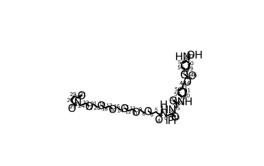 CC(C)C(NC(=O)CCOCCOCCOCCOCCOCCOCCN1C(=O)C=CC1=O)C(=O)NCC(=O)Nc1ccc(COC(=O)Oc2ccc(NO)cc2)cc1